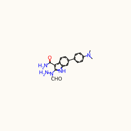 CN(C)c1ccc(-c2ccc3c(C(N)=O)c(N(N)C=O)[nH]c3c2)cc1